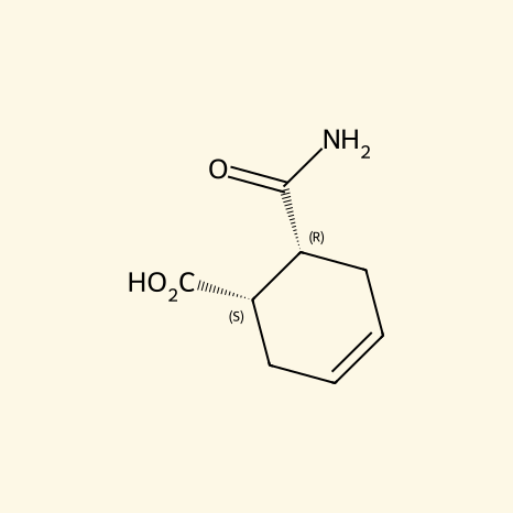 NC(=O)[C@@H]1CC=CC[C@@H]1C(=O)O